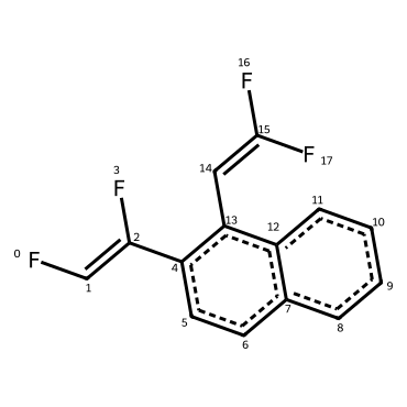 FC=C(F)c1ccc2ccccc2c1C=C(F)F